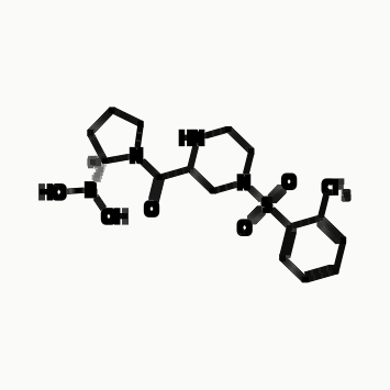 O=C(C1CN(S(=O)(=O)c2ccccc2C(F)(F)F)CCN1)N1CCC[C@H]1B(O)O